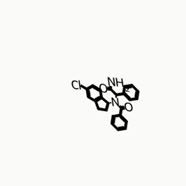 NC(=O)[C@@H](c1ccccc1)N(C(=O)c1ccccc1)[C@@H]1CCc2cc(Cl)ccc21